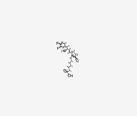 O=C(O)CCCCCCN1C(=O)CC[C@@H]1/C=C/[C@@H](O)Cc1ccc(F)c(F)c1